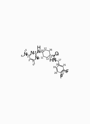 Cc1cc(N(C)C)nc(NC2CCC(C(=O)NCc3ccc(F)c(F)c3)CC2)n1